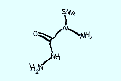 CSN(N)C(=O)NN